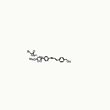 COC(=O)[C@H](CNC(=O)CBr)NC(=O)c1ccc(C#CC=Cc2ccc(CO)cc2)cc1